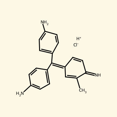 CC1=CC(=C(c2ccc(N)cc2)c2ccc(N)cc2)C=CC1=N.[Cl-].[H+]